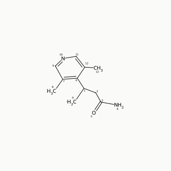 [CH2]C(CC(N)=O)c1c(C)cncc1C